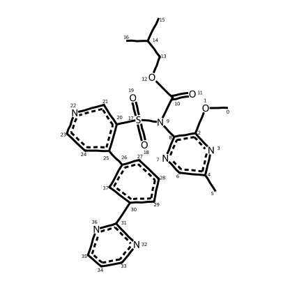 COc1nc(C)cnc1N(C(=O)OCC(C)C)S(=O)(=O)c1cnccc1-c1cccc(-c2ncccn2)c1